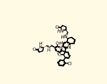 COc1nc(C2(c3ccc4c(n3)CCC[C@@H]4NC[C@@H]3CCC(=O)N3)C=CC=C(c3ccccc3Cl)C2Cl)ccc1CNC[C@@H]1CCC(=O)N1